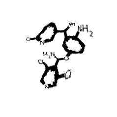 N=C(c1ccc(Cl)nc1)c1cc(O[C@H](N)c2c(Cl)cncc2Cl)ccc1N